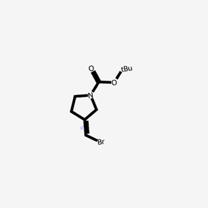 CC(C)(C)OC(=O)N1CC/C(=C/Br)C1